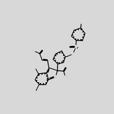 NC(=O)C=CC1=c2c(Cl)cc(Cl)cc2=NC1(C(=O)O)c1cccc(NS(=O)(=O)c2ccc(Cl)cc2)c1